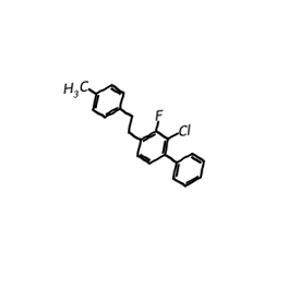 Cc1ccc(CCc2ccc(-c3ccccc3)c(Cl)c2F)cc1